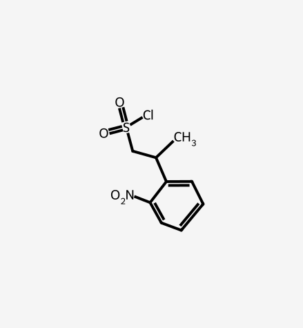 CC(CS(=O)(=O)Cl)c1ccccc1[N+](=O)[O-]